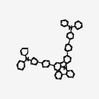 C1=CCC(N(c2ccccc2)c2ccc(-c3ccc(-c4ccc5c(c4)c4cc(-c6ccc(-c7ccc(N(c8ccccc8)c8ccccc8)cc7)cc6)ccc4n5-c4ccccc4-c4ccccc4)cc3)cc2)C=C1